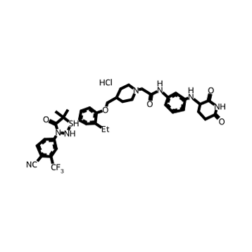 CCc1cc([SH]2NN(c3ccc(C#N)c(C(F)(F)F)c3)C(=O)C2(C)C)ccc1OCC1CCN(CC(=O)Nc2cccc(NC3CCC(=O)NC3=O)c2)CC1.Cl